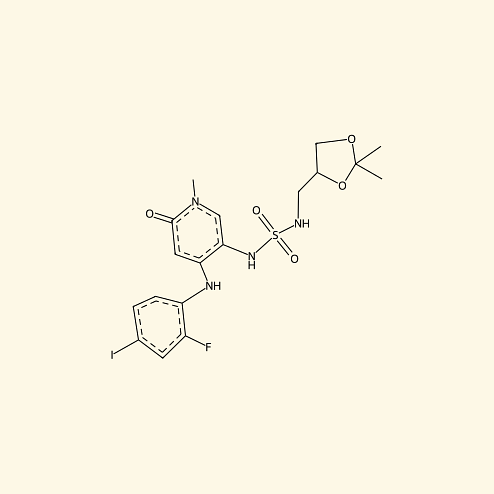 Cn1cc(NS(=O)(=O)NCC2COC(C)(C)O2)c(Nc2ccc(I)cc2F)cc1=O